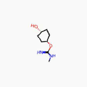 CNC(=N)O[C@H]1CC[C@H](O)CC1